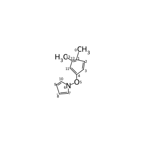 Cc1ccc(On2c[c]cc2)cc1C